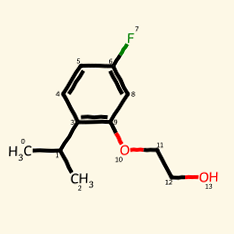 CC(C)c1ccc(F)cc1OCCO